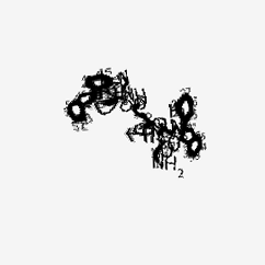 NCC(=O)NC(OC(=O)/C=C/C(=O)OC(NC(=O)CN)C(=O)NC1(c2ccccc2)Cc2ccccc2C1)C(=O)NC1(c2ccccc2)Cc2ccccc2C1